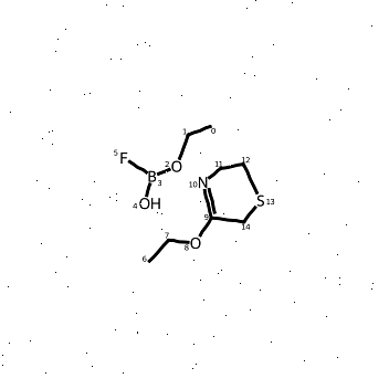 CCOB(O)F.CCOC1=NCCSC1